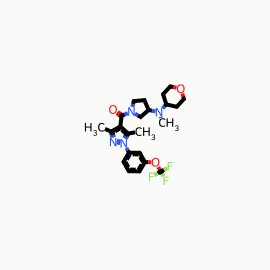 Cc1nn(-c2cccc(OC(F)(F)F)c2)c(C)c1C(=O)N1CCC(N(C)C2CCOCC2)C1